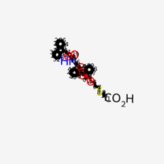 CC(C)(COCCCSCCC(=O)O)O[Si](OCCNC(=O)OCC1c2ccccc2-c2ccccc21)(c1ccccc1)c1ccccc1